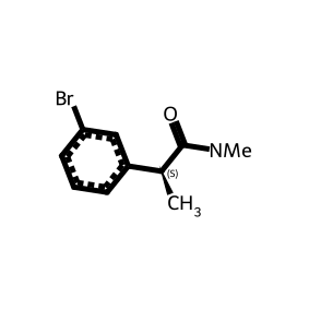 CNC(=O)[C@@H](C)c1cccc(Br)c1